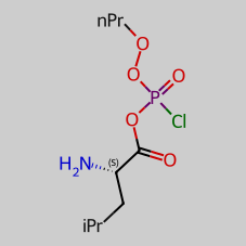 CCCOOP(=O)(Cl)OC(=O)[C@@H](N)CC(C)C